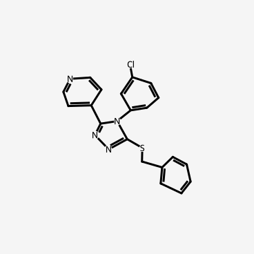 Clc1cccc(-n2c(SCc3ccccc3)nnc2-c2ccncc2)c1